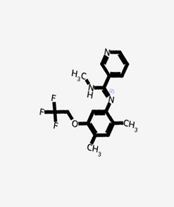 CN/C(=N\c1cc(OCC(F)(F)F)c(C)cc1C)c1cccnc1